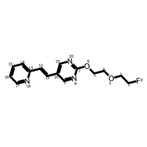 FCCOCCOc1ncc(/C=C/c2cc[c]cn2)cn1